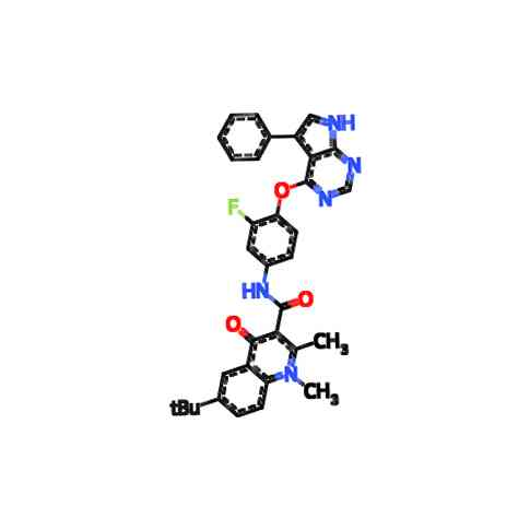 Cc1c(C(=O)Nc2ccc(Oc3ncnc4[nH]cc(-c5ccccc5)c34)c(F)c2)c(=O)c2cc(C(C)(C)C)ccc2n1C